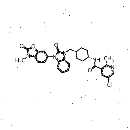 Cc1ncc(Cl)cc1C(=O)N[C@H]1CC[C@H](Cn2c(=O)n(-c3ccc4c(c3)oc(=O)n4C)c3ccccc32)CC1